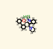 Cl.Cn1c(COc2ccccc2-c2ccccc2)c(CN2CCCCC2)c2ccccc21